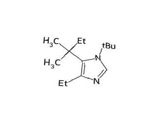 CCc1ncn(C(C)(C)C)c1C(C)(C)CC